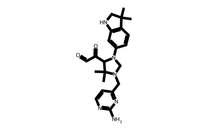 CC1(C)CNc2cc(N3CN(Cc4ccnc(N)n4)C(C)(C)C3C(=O)C=O)ccc21